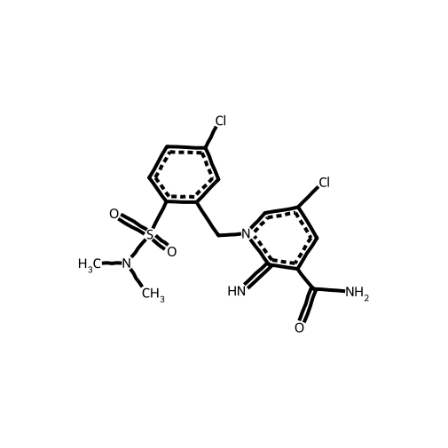 CN(C)S(=O)(=O)c1ccc(Cl)cc1Cn1cc(Cl)cc(C(N)=O)c1=N